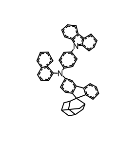 c1ccc2c(c1)-c1cc(N(c3ccc(-n4c5ccccc5c5ccccc54)cc3)c3cccc4ccccc34)ccc1C21C2CC3CC(C2)CC1C3